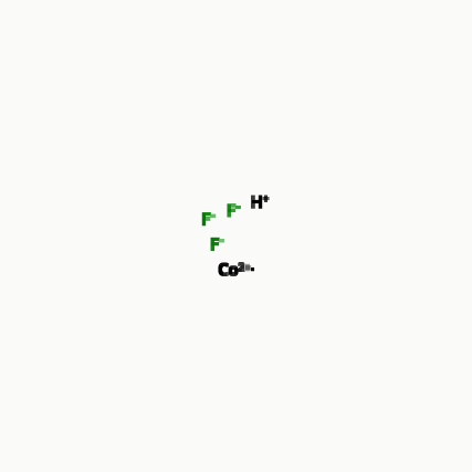 [Co+2].[F-].[F-].[F-].[H+]